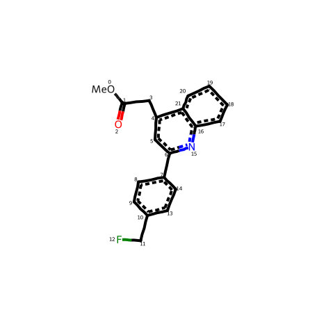 COC(=O)Cc1cc(-c2ccc(CF)cc2)nc2ccccc12